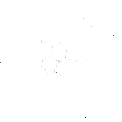 C=C(/C=C\C=C/C)/C(=C/C)NN(C)CC